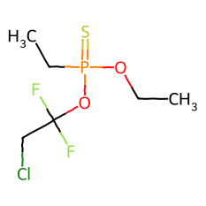 CCOP(=S)(CC)OC(F)(F)CCl